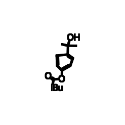 CCC(C)C(=O)Oc1ccc(C(C)(C)O)cc1